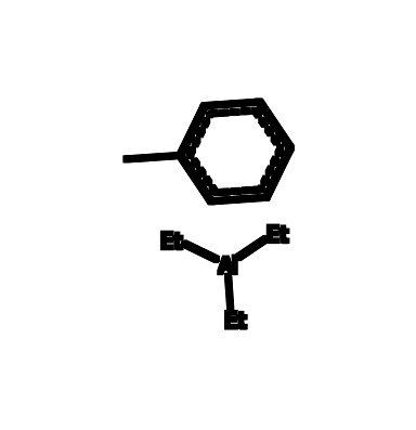 C[CH2][Al]([CH2]C)[CH2]C.Cc1ccccc1